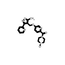 Cc1onc(-c2ccccn2)c1COc1ccc(C(=O)N2CC[S+]([O-])CC2)nc1